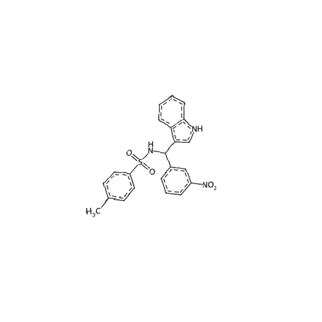 Cc1ccc(S(=O)(=O)NC(c2cccc([N+](=O)[O-])c2)c2c[nH]c3ccccc23)cc1